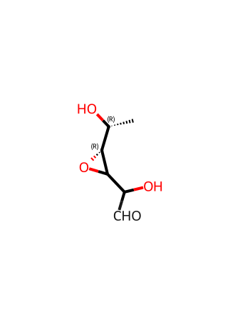 C[C@@H](O)[C@H]1OC1C(O)C=O